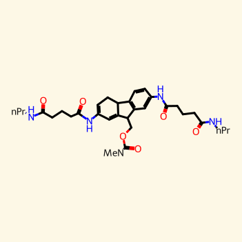 CCCNC(=O)CCCC(=O)NC1=CCC2C(=C1)C(COC(=O)NC)c1cc(NC(=O)CCCC(=O)NCCC)ccc12